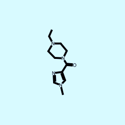 CCN1CCN(C(=O)c2cn(C)cn2)CC1